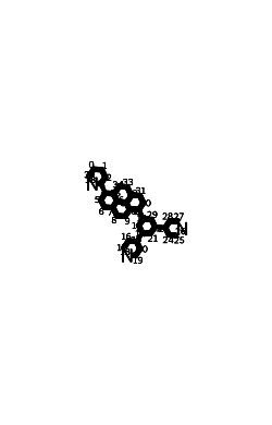 c1ccc(-c2ccc3ccc4c(-c5cc(-c6ccncc6)cc(-c6ccncc6)c5)ccc5ccc2c3c54)nc1